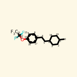 CC1CCC(CCc2ccc(OC(F)(F)C(F)(F)F)cc2)CC1